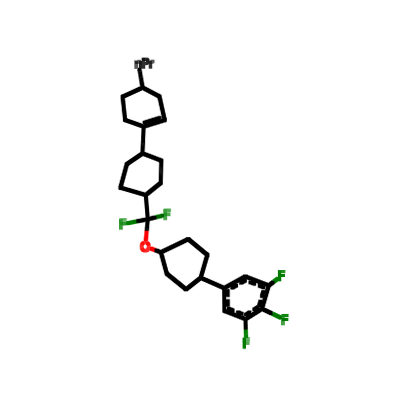 CCCC1CC=C(C2CCC(C(F)(F)OC3CCC(c4cc(F)c(F)c(F)c4)CC3)CC2)CC1